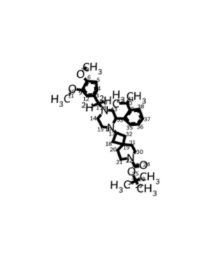 [2H]C([2H])(c1ccc(OC)c(OC)c1)N1CCN(C2CC3(CCN(C(=O)OC(C)(C)C)CC3)C2)C(c2ccccc2C(C)C)C1